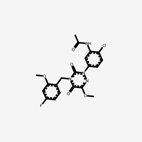 COc1cc(F)ccc1Cn1c(=O)c(OC)nn(-c2ccc(Cl)c(NC(C)=O)c2)c1=O